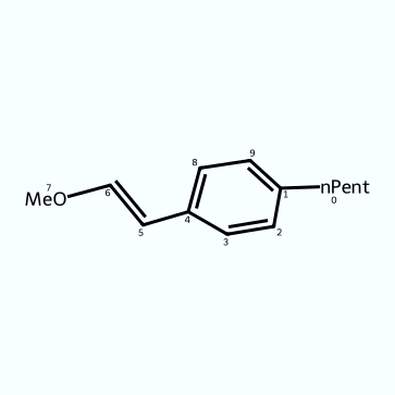 CCCCCc1ccc(C=COC)cc1